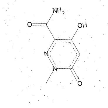 Cn1nc(C(N)=O)c(O)cc1=O